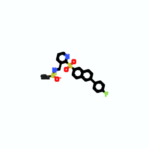 CC(C)(C)[S+]([O-])N=Cc1cccnc1S(=O)(=O)c1ccc2cc(-c3ccc(F)cc3)ccc2c1